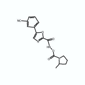 CC1CCCN1C(=O)ONC(=O)c1ncc(-c2cccc(C#N)c2)o1